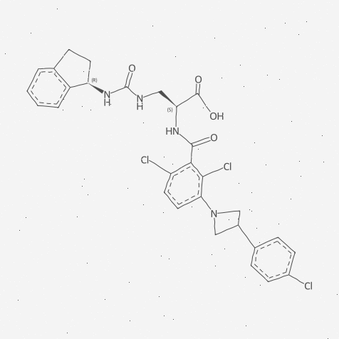 O=C(NC[C@H](NC(=O)c1c(Cl)ccc(N2CC(c3ccc(Cl)cc3)C2)c1Cl)C(=O)O)N[C@@H]1CCc2ccccc21